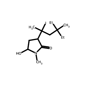 CCC(C)(CC)CC(C)(I)C1CC(O)N(C)C1=O